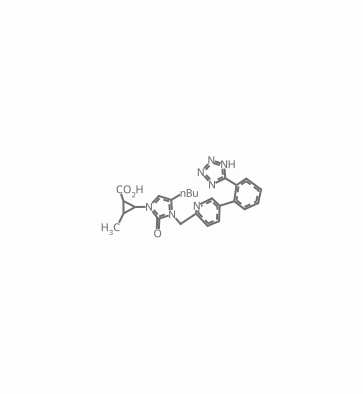 CCCCc1cn(C2C(C)C2C(=O)O)c(=O)n1Cc1ccc(-c2ccccc2-c2nnn[nH]2)cn1